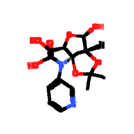 CC1(C)O[C@H]2[C@H](O)O[C@H](CO)[C@]2(N(C(=O)O)c2cccnc2)O1